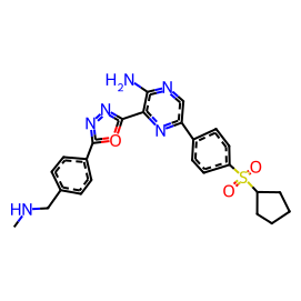 CNCc1ccc(-c2nnc(-c3nc(-c4ccc(S(=O)(=O)C5CCCC5)cc4)cnc3N)o2)cc1